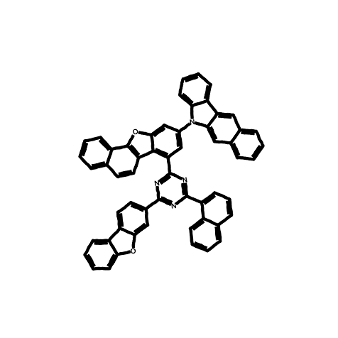 c1ccc2cc3c(cc2c1)c1ccccc1n3-c1cc(-c2nc(-c3ccc4c(c3)oc3ccccc34)nc(-c3cccc4ccccc34)n2)c2c(c1)oc1c3ccccc3ccc12